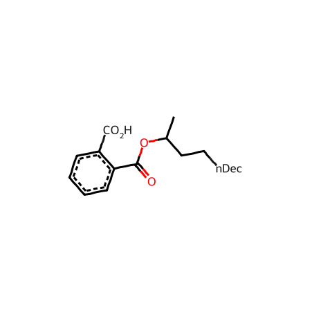 CCCCCCCCCCCCC(C)OC(=O)c1ccccc1C(=O)O